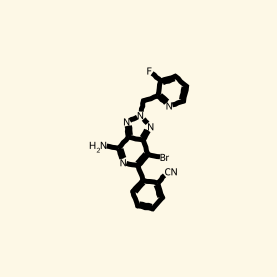 N#Cc1ccccc1-c1nc(N)c2nn(Cc3ncccc3F)nc2c1Br